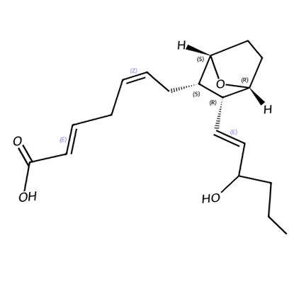 CCCC(O)/C=C/[C@@H]1[C@H](C/C=C\C/C=C/C(=O)O)[C@@H]2CC[C@H]1O2